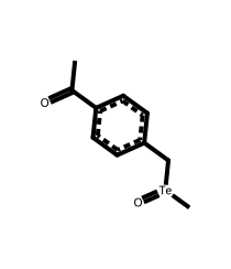 CC(=O)c1ccc(C[Te](C)=O)cc1